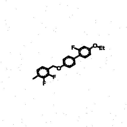 CCOc1ccc(-c2ccc(OCc3ccc(C)c(F)c3F)cc2)c(F)c1